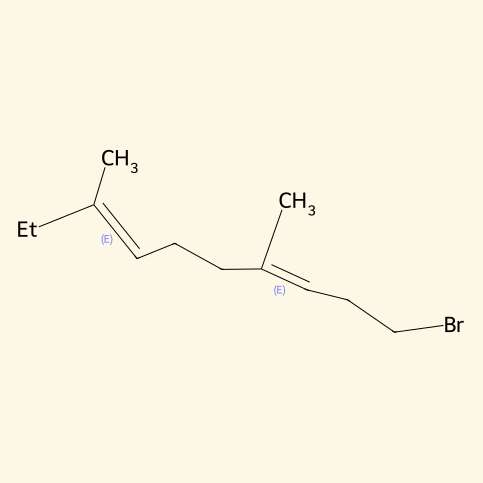 CC/C(C)=C/CC/C(C)=C/CCBr